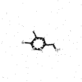 Cc1cc(CO)nnc1Br